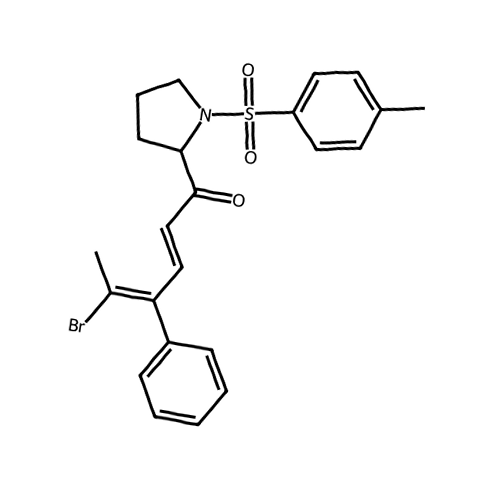 CC(Br)=C(C=CC(=O)C1CCCN1S(=O)(=O)c1ccc(C)cc1)c1ccccc1